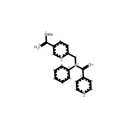 C=C(OC)c1ccc(CN(C(=O)c2ccncc2)c2ccccc2)nc1